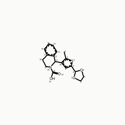 Cc1sc(C2OCCO2)cc1C1c2ccccc2CCN1C(=O)O